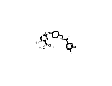 Cc1cnc(NC2CCC(CNC(=O)c3ccc(F)c(F)c3)CC2)nc1N(C)C